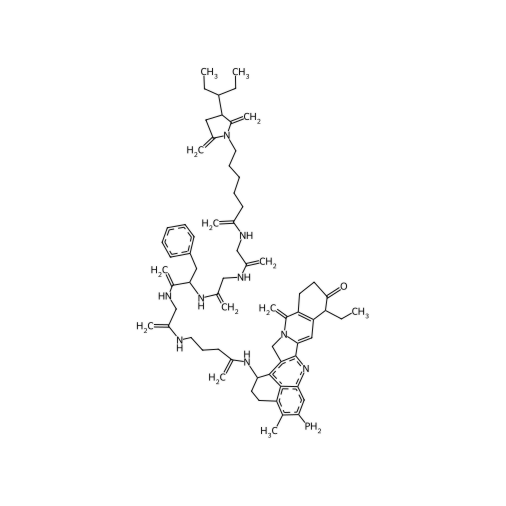 C=C(CCCCCN1C(=C)CC(C(CC)CC)C1=C)NCC(=C)NCC(=C)NC(Cc1ccccc1)C(=C)NCC(=C)NCCCC(=C)NC1CCc2c(C)c(P)cc3nc4c(c1c23)CN1C(=C)C2=C(C=C41)C(CC)C(=O)CC2